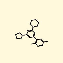 Cc1cnc(C)c(-c2cc(N3CCCCC3)nc(N3CCCC3)c2)c1